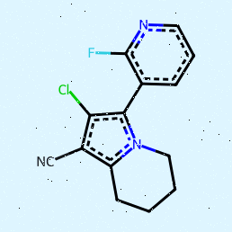 N#Cc1c(Cl)c(-c2cccnc2F)n2c1CCCC2